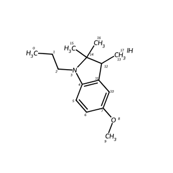 CCCN1c2ccc(OC)cc2C(C)C1(C)C.I